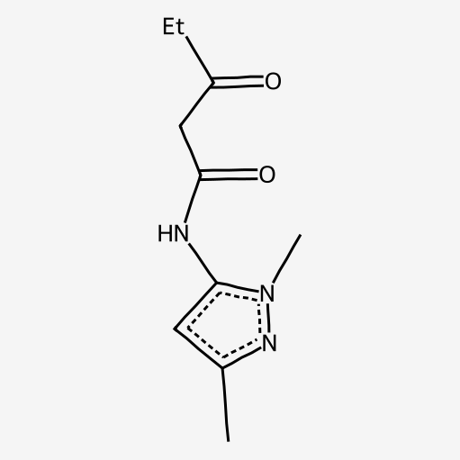 CCC(=O)CC(=O)Nc1cc(C)nn1C